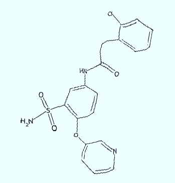 NS(=O)(=O)c1cc(NC(=O)Cc2ccccc2Cl)ccc1Oc1cccnc1